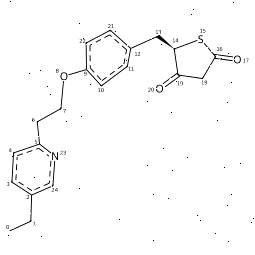 CCc1ccc(CCOc2ccc(C[C@H]3SC(=O)CC3=O)cc2)nc1